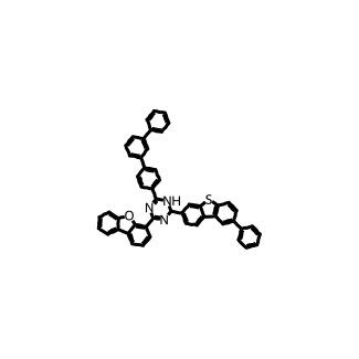 c1ccc(-c2cccc(-c3ccc(C4=NC(c5cccc6c5oc5ccccc56)=NC(c5ccc6c(c5)sc5ccc(-c7ccccc7)cc56)N4)cc3)c2)cc1